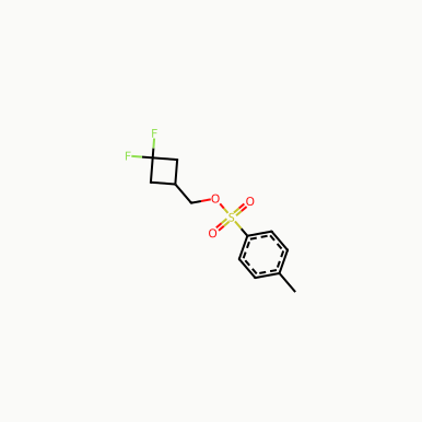 Cc1ccc(S(=O)(=O)OCC2CC(F)(F)C2)cc1